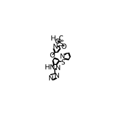 CCS(=O)(=O)c1ccc(Oc2cc(Sc3ccccn3)c3nc(-c4cnccn4)[nH]c3c2)cn1